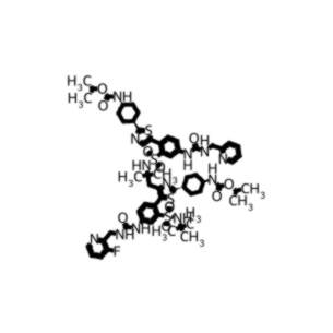 CC(C)OC(=O)N[C@H]1CC[C@H](c2ncc(-c3ccc(NC(=O)NCc4ccccn4)cc3S(=O)(=O)NC(C)(C)Cc3nc([C@H]4CC[C@H](NC(=O)OC(C)C)CC4)sc3-c3ccc(NC(=O)NCc4ncccc4F)cc3S(=O)(=O)NC(C)(C)C)s2)CC1